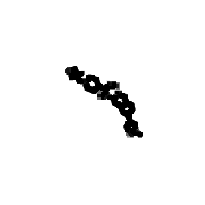 Cn1cc(-c2ccc3cnc(NC(=N)C4CCN(CC5(C)COC5)CC4)cc3c2)cn1